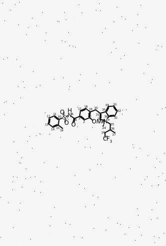 COc1cc(C(=O)NS(=O)(=O)c2ccccc2C)ccc1CC1=C[N@@+](C)(CC(C)CC(F)(F)F)c2ccccc21